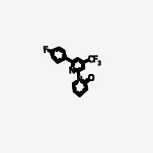 O=c1ccccn1-c1cc(C(F)(F)F)cc(-c2ccc(F)cc2)n1